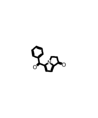 O=C1CCn2c1ccc2C(=O)c1ccccc1